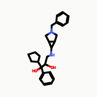 OC(CNC1C2CN(Cc3ccccc3)CC21)C(O)(c1ccccc1)C1CCCC1